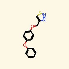 c1ccc(Oc2ccc(OCc3csnn3)cc2)cc1